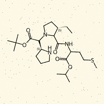 CC[C@H]1CCN(C(C(=O)OC(C)(C)C)[C@@H]2CCCN2)C1C(=O)NC(CCSC)C(=O)OC(C)C